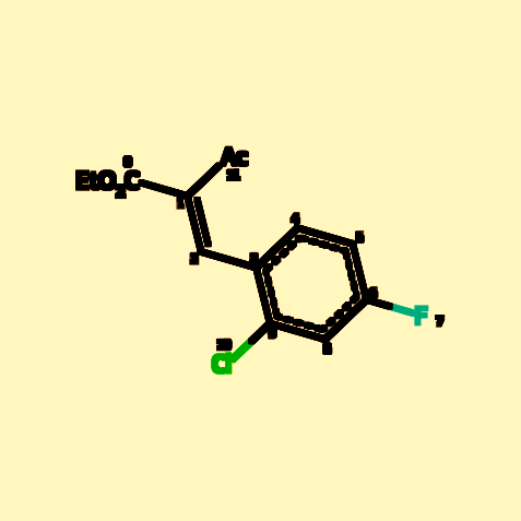 CCOC(=O)C(=Cc1ccc(F)cc1Cl)C(C)=O